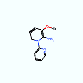 CCOC1=C(N)N(c2ccccn2)CC=C1